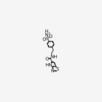 NS(=O)(=O)c1ccc(CCNC(=O)c2cc3scnc3[nH]2)cc1